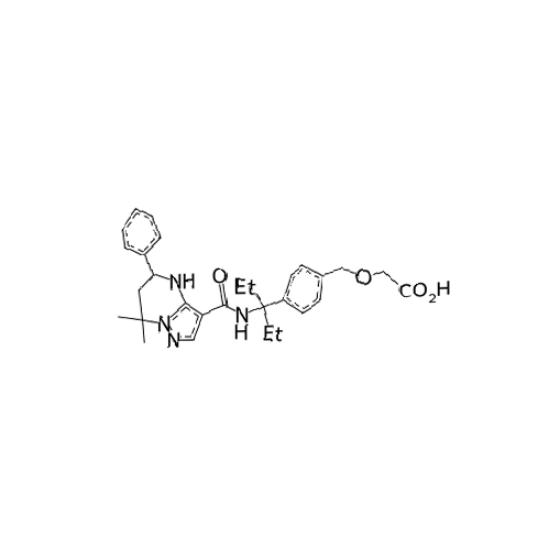 CCC(CC)(NC(=O)c1cnn2c1NC(c1ccccc1)CC2(C)C)c1ccc(COCC(=O)O)cc1